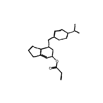 CCC(=O)OC1C=C2CCCC2C(CC2CCC(C(C)C)CC2)C1